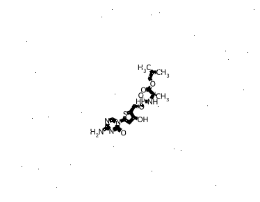 CC(C)COC(=O)[C@H](C)N[PH](=O)OCC1SC(n2cnc(N)nc2=O)CC1O